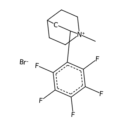 C[N+]12CCC(CC1)CC2c1c(F)c(F)c(F)c(F)c1F.[Br-]